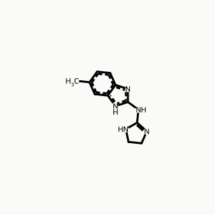 Cc1ccc2nc(NC3=NCCN3)[nH]c2c1